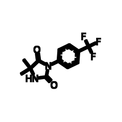 CC1(C)NC(=O)N(c2ccc(C(F)(F)F)cc2)C1=O